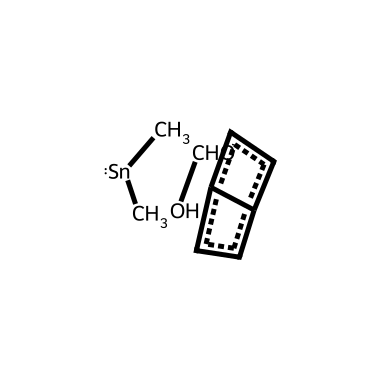 O=CO.[CH3][Sn][CH3].c1cc2ccc1-2